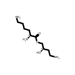 NCCCC[C@H](N)C(=O)OC[C@H](O)CCN